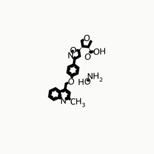 Cc1cc(COc2ccc(C3=NOC([C@@H]4COC[C@@H]4C(=O)O)C3)cc2)c2ccccc2n1.NO